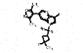 [2H]C([2H])(C1CC(C)(F)C1)n1cc(I)c2ncc(-c3c(C)noc3C)cc21